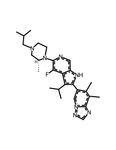 Cc1c(-c2[nH]c3cnc(N4CCN(CC(C)C)C[C@H]4C)c(F)c3c2C(C)C)cn2ncnc2c1C